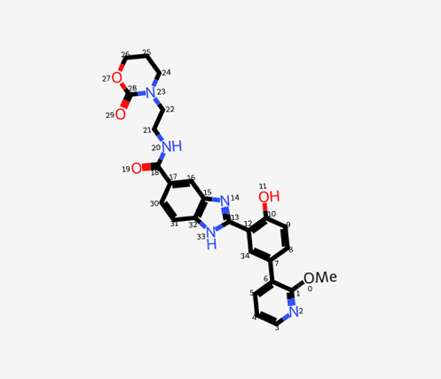 COc1ncccc1-c1ccc(O)c(-c2nc3cc(C(=O)NCCN4CCCOC4=O)ccc3[nH]2)c1